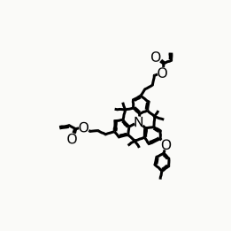 C=CC(=O)OCCCc1cc2c3c(c1)C(C)(C)c1cc(Oc4ccc(C)cc4)cc4c1N3c1c(cc(CCCOC(=O)C=C)cc1C4(C)C)C2(C)C